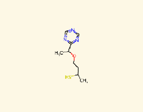 CC(S)CCOC(C)c1ncncn1